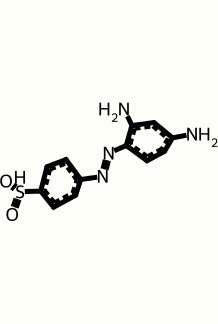 Nc1ccc(/N=N/c2ccc([SH](=O)=O)cc2)c(N)c1